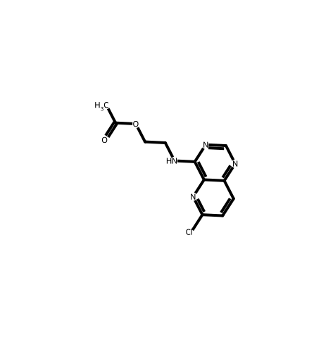 CC(=O)OCCNc1ncnc2ccc(Cl)nc12